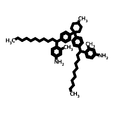 CCCCCCCCCCC(c1ccc(C2(c3ccc(C(CCCCCCCCCC)c4ccc(N)cc4C)cc3)CCC(C)CC2)cc1)c1ccc(N)cc1C